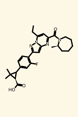 CCc1cc(C(=O)N2CCCCC[C@H]2C)nc2cc(-c3ccc(C4[C@@H](C(=O)O)C4(C)C)cc3F)nn12